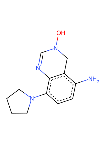 Nc1ccc(N2CCCC2)c2c1CN(O)C=N2